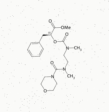 COC(=O)[C@H](Cc1ccccc1)OC(=O)N(C)CCN(C)C(=O)N1CCOCC1